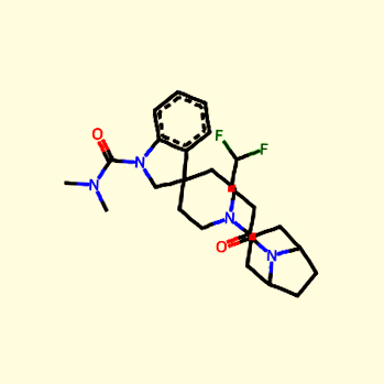 CN(C)C(=O)N1CC2(CCN(C3CC4CCC(C3)N4C(=O)CCC(F)F)CC2)c2ccccc21